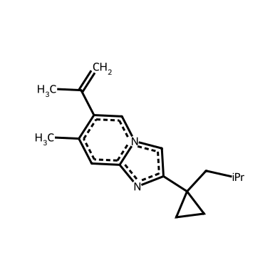 C=C(C)c1cn2cc(C3(CC(C)C)CC3)nc2cc1C